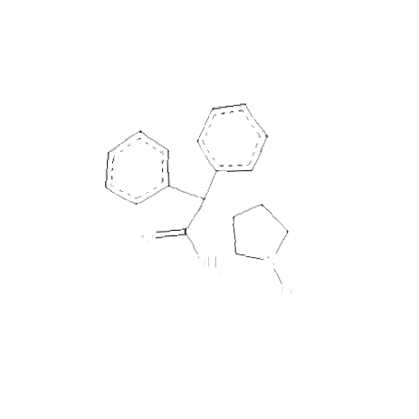 [CH2]CN1CC[C@@H](C(C(N)=O)(c2ccccc2)c2ccccc2)C1